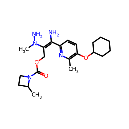 Cc1nc(/C(N)=C(\COC(=O)N2CCC2C)N(C)N)ccc1OC1CCCCC1